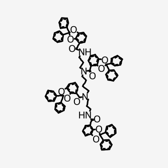 O=C(NCCCN(CCCCN(CCCNC(=O)c1cccc2c1OC(c1ccccc1)(c1ccccc1)O2)C(=O)c1cccc2c1OC(c1ccccc1)(c1ccccc1)O2)C(=O)c1cccc2c1OC(c1ccccc1)(c1ccccc1)O2)c1cccc2c1OC(c1ccccc1)(c1ccccc1)O2